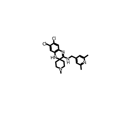 Cc1cc(CNC2=Nc3cc(Cl)c(Cl)cc3NC23CCN(C)CC3)cc(C)n1